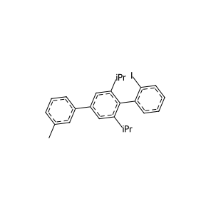 Cc1cccc(-c2cc(C(C)C)c(-c3ccccc3I)c(C(C)C)c2)c1